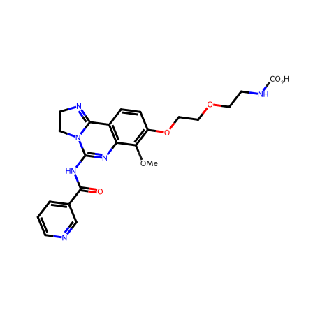 COc1c(OCCOCCNC(=O)O)ccc2c1N=C(NC(=O)c1cccnc1)N1CCN=C21